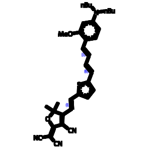 CCCCN(CCCC)c1ccc(/C=C/C=C/c2ccc(/C=C/C3=C(C#N)C(=C(C#N)C#N)OC3(C)C)s2)c(OC)c1